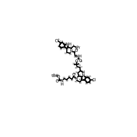 CC(C)CC1c2[nH]c3cc(Cl)ccc3c2CCN1C(=O)CNC(=O)OC(C)(C)CCC(C)CC1c2[nH]c3cc(Cl)ccc3c2CCN1C(=O)CCCCNC(=O)OC(C)(C)C